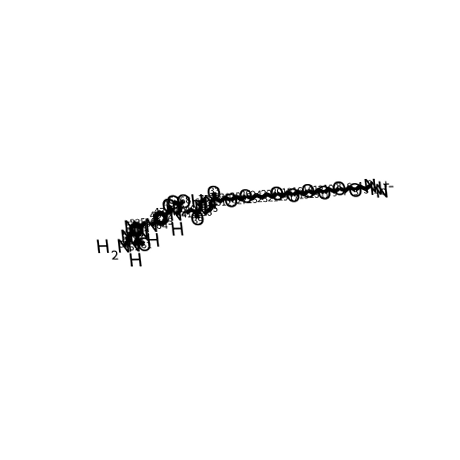 [N-]=[N+]=NCCOCCOCCOCCOCCOCCOCCCCCOCCOCCC(=O)N1CCN(C(=O)CC[C@H](NC(=O)c2ccc(NCc3cnc4nc(N)[nH]c(=O)c4n3)cc2)C(=O)O)CC1